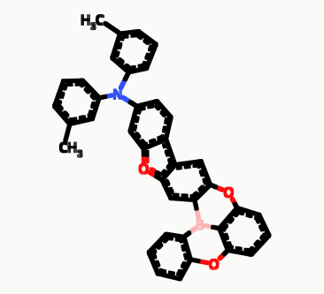 Cc1cccc(N(c2cccc(C)c2)c2ccc3c(c2)oc2cc4c(cc23)Oc2cccc3c2B4c2ccccc2O3)c1